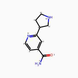 NC(=O)c1ccnc(C2CCNC2)c1